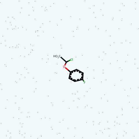 O=C(O)C(Cl)Oc1ccc(F)cc1